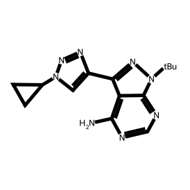 CC(C)(C)n1nc(-c2cn(C3CC3)nn2)c2c(N)ncnc21